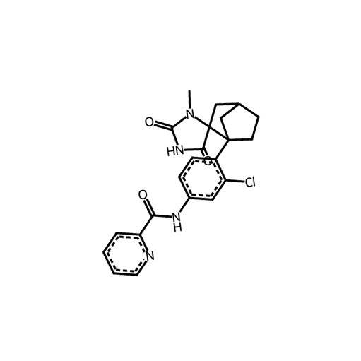 CN1C(=O)NC(=O)C12CC1CCC2(c2ccc(NC(=O)c3ccccn3)cc2Cl)C1